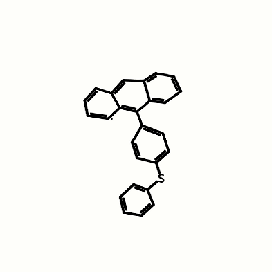 [c]1cccc2cc3ccccc3c(-c3ccc(Sc4ccccc4)cc3)c12